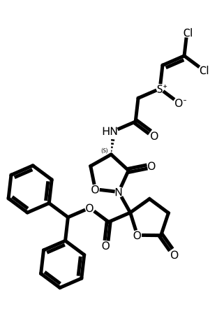 O=C(C[S+]([O-])C=C(Cl)Cl)N[C@H]1CON(C2(C(=O)OC(c3ccccc3)c3ccccc3)CCC(=O)O2)C1=O